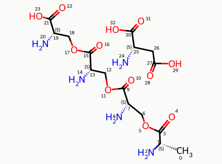 C[C@H](N)C(=O)OC[C@H](N)C(=O)OC[C@H](N)C(=O)OC[C@H](N)C(=O)O.N[C@@H](CC(=O)O)C(=O)O